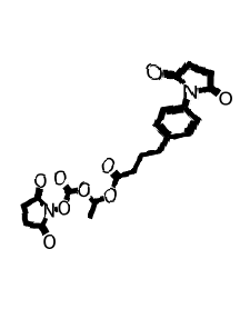 CC(OC(=O)CCCc1ccc(N2C(=O)C=CC2=O)cc1)OC(=O)ON1C(=O)CCC1=O